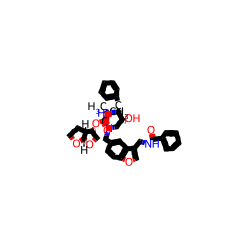 CC(C)CN(Cc1ccc2occ(CNC(=O)c3ccccc3)c2c1)C[C@@H](O)[C@H](Cc1ccccc1)NC(=O)O[C@H]1CO[C@H]2OCC[C@H]21